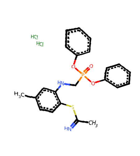 CC(=N)Sc1ccc(C)cc1NCP(=O)(Oc1ccccc1)Oc1ccccc1.Cl.Cl